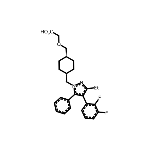 CCc1nn(C[C@H]2CC[C@@H](COCC(=O)O)CC2)c(-c2ccccc2)c1-c1cccc(F)c1F